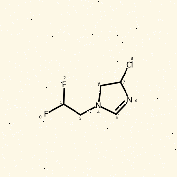 FC(F)CN1[C]=NC(Cl)[CH]1